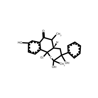 CCC12CC(C)(O)C(O)(c3ccccc3)C[C@H]1C(C)C(=O)c1cc(O)ccc12